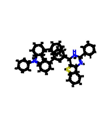 c1ccc(C2=Nc3c(sc4ccccc34)C(c3cccc(-c4cccc5c4c4c(-c6ccccc6)cccc4n5-c4ccccc4)c3)N2)cc1